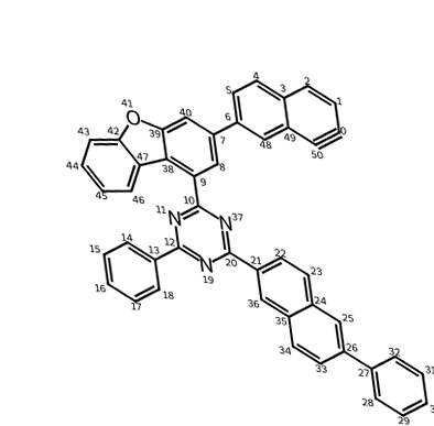 c1ccc2ccc(-c3cc(-c4nc(-c5ccccc5)nc(-c5ccc6cc(-c7ccccc7)ccc6c5)n4)c4c(c3)oc3ccccc34)cc2c#1